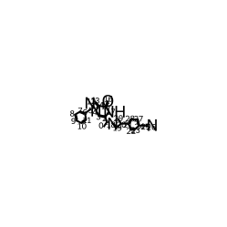 CC(c1cn2c(-c3ccccc3)ncc2c(=O)[nH]1)N1CC(c2ccc(C#N)cc2)C1